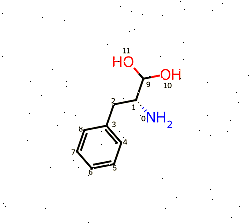 N[C@H](Cc1ccccc1)C(O)O